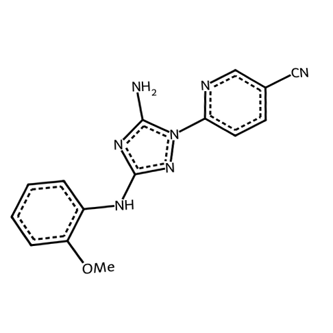 COc1ccccc1Nc1nc(N)n(-c2ccc(C#N)cn2)n1